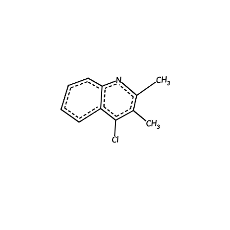 Cc1nc2ccccc2c(Cl)c1C